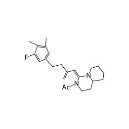 C=C(/C=C1\N(C(C)=O)CCC2CCCCN12)CCc1cc(C)c(C)c(F)c1